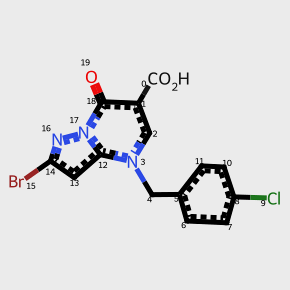 O=C(O)c1cn(Cc2ccc(Cl)cc2)c2cc(Br)nn2c1=O